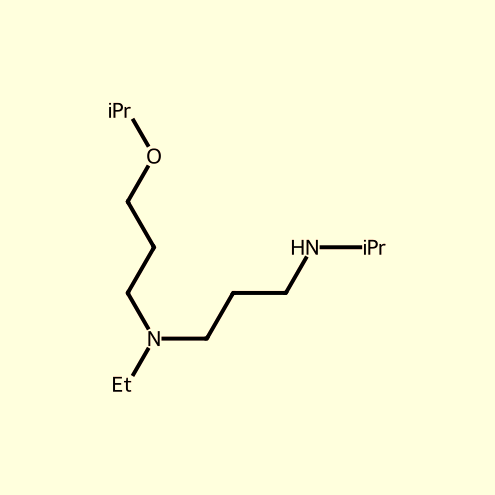 CCN(CCCNC(C)C)CCCOC(C)C